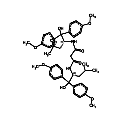 COc1ccc(C(O)(c2ccc(OC)cc2)[C@@H](CC(C)C)NC(=O)CC(=O)N[C@H](CC(C)C)C(O)(c2ccc(OC)cc2)c2ccc(OC)cc2)cc1